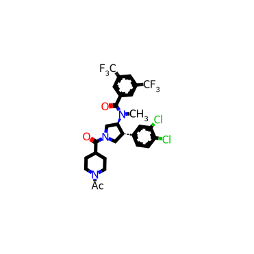 CC(=O)N1CCC(C(=O)N2C[C@@H](N(C)C(=O)c3cc(C(F)(F)F)cc(C(F)(F)F)c3)[C@H](c3ccc(Cl)c(Cl)c3)C2)CC1